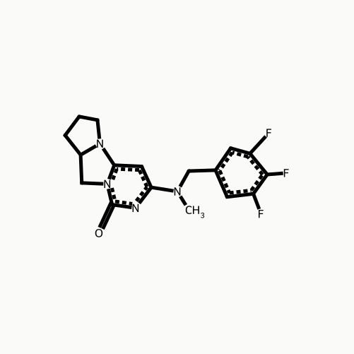 CN(Cc1cc(F)c(F)c(F)c1)c1cc2n(c(=O)n1)CC1CCCN21